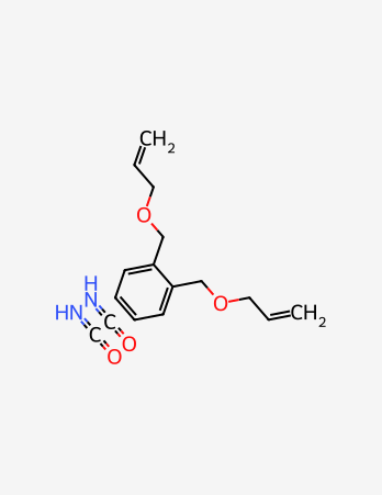 C=CCOCc1ccccc1COCC=C.N=C=O.N=C=O